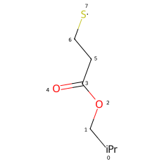 CC(C)COC(=O)CC[S]